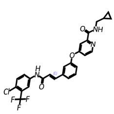 O=C(/C=C/c1cccc(Oc2ccnc(C(=O)NCC3CC3)c2)c1)Nc1ccc(Cl)c(C(F)(F)F)c1